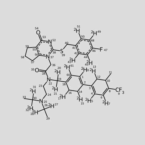 [2H]C1=C(C2=C([2H])C([2H])=C(C(F)(F)F)C(C)C2[2H])C([2H])C([2H])C(C([2H])([2H])N(CCN(C([2H])([2H])C)C([2H])([2H])C)C(=O)Cn2c(SCc3c([2H])c([2H])c(F)c([2H])c3[2H])nc(=O)c3c2CCC3)=C1[2H]